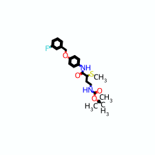 CSC(CCNC(=O)OC(C)(C)C)C(=O)Nc1ccc(OCc2cccc(F)c2)cc1